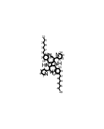 [C-]#[N+]/C(c1ccccn1)=c1/[nH]c(-c2ccc(CCCCCCC)cc2)c2/c(=C(\C#N)c3ccccn3)[nH]c(-c3ccc(CCCCCCC)cc3)c12